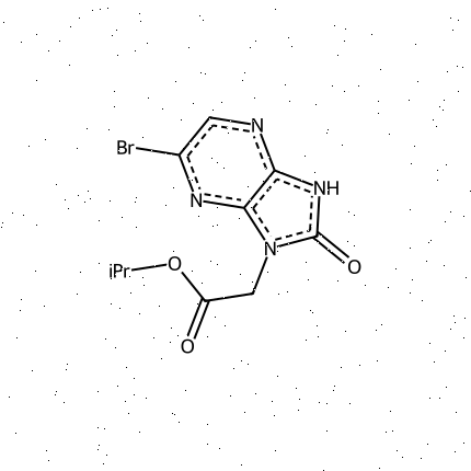 CC(C)OC(=O)Cn1c(=O)[nH]c2ncc(Br)nc21